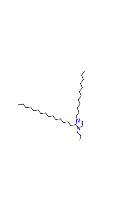 CCCCCCCCCCCCCCCC1N(CCC)C=CN1CCCCCCCCCCCC